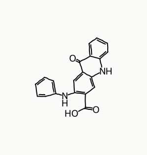 O=C(O)c1cc2[nH]c3ccccc3c(=O)c2cc1Nc1ccccc1